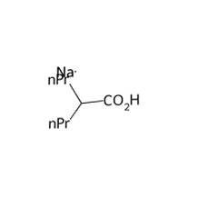 CCCC(CCC)C(=O)O.[Na]